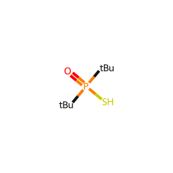 CC(C)(C)P(=O)(S)C(C)(C)C